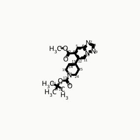 COC(=O)c1cc2ncnn2cc1C1=CCN(C(=O)OC(C)(C)C)CC1